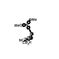 COc1ccc(N(c2ccc(C#Cc3ccc(-c4ccc(C=c5s/c(=C(/C#N)C(=O)O)nc5C(C)(C)C)s4)s3)cc2)c2ccc(OC)cc2)cc1